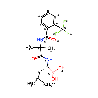 CC(C)C[C@H](NC(=O)C(C)(C)NC(=O)c1ccccc1C(F)(F)F)B(O)O